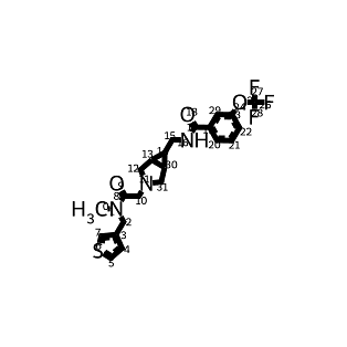 CN(Cc1ccsc1)C(=O)CN1CC2C(CNC(=O)c3cccc(OC(F)(F)F)c3)C2C1